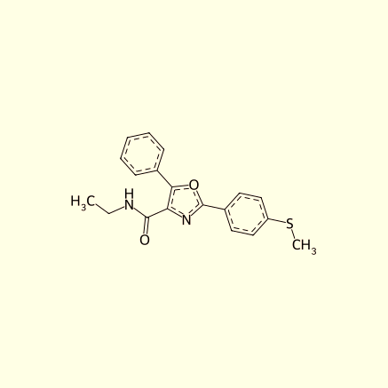 CCNC(=O)c1nc(-c2ccc(SC)cc2)oc1-c1ccccc1